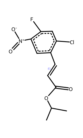 CC(C)OC(=O)/C=C/c1cc([N+](=O)[O-])c(F)cc1Cl